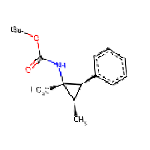 C[C@@H]1[C@H](c2ccccc2)[C@]1(NC(=O)OC(C)(C)C)C(=O)O